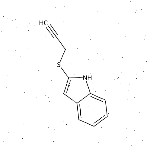 C#CCSc1cc2ccccc2[nH]1